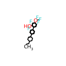 CCCC1CC=C(c2ccc(-c3ccc(OC(F)(F)F)c(F)c3O)c(F)c2)CC1